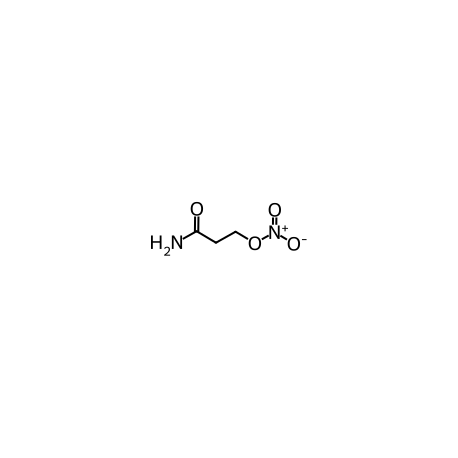 NC(=O)CCO[N+](=O)[O-]